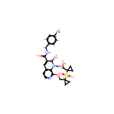 CN1c2c(ccnc2OCC2(S(=O)(=O)C3(CO)CC3)CC2)C=C(C(=O)NCc2ccc(C#N)cc2)C1O